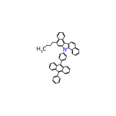 CCCCc1cc2c(c3ccccc13)c1ccc3ccccc3c1n2-c1ccc(-c2c3ccccc3c(-c3ccccc3)c3ccccc23)cc1